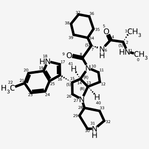 CN[C@@H](C)C(=O)N[C@H](C(=O)N1CC[C@@H]2[C@H]1[C@@H](c1c[nH]c3cc(C)ccc13)CN2C1CCNCC1)C1CCCCC1